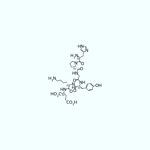 NCCCC[C@H](NC(=O)[C@H](Cc1ccc(O)cc1)NC(=O)CNC(=O)[C@@H]1CCCN1C(=O)[C@@H](N)Cc1c[nH]cn1)C(=O)N[C@@H](CCC(=O)O)C(=O)O